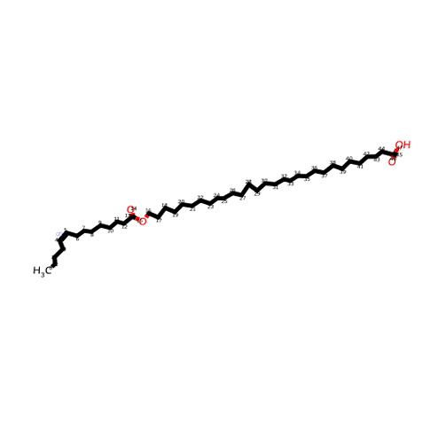 CCCC/C=C\CCCCCCCC(=O)OCCCCCCCCCCCCCCCCCCCCCCCCCCCCCC(=O)O